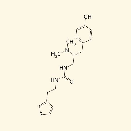 CN(C)C(CNC(=O)NCCc1ccsc1)Cc1ccc(O)cc1